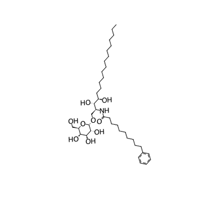 CCCCCCCCCCCCCC[C@@H](O)[C@@H](O)[C@H](CO[C@H]1O[C@H](CO)[C@H](O)[C@H](O)[C@H]1O)NC(=O)CCCCCCCCCc1ccccc1